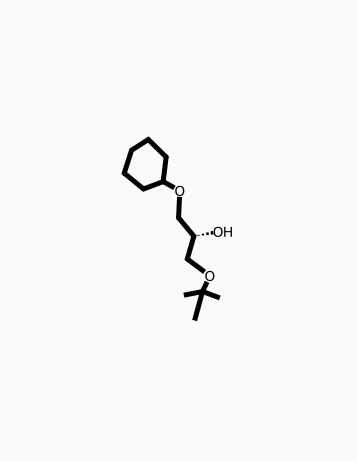 CC(C)(C)OC[C@@H](O)COC1CCCCC1